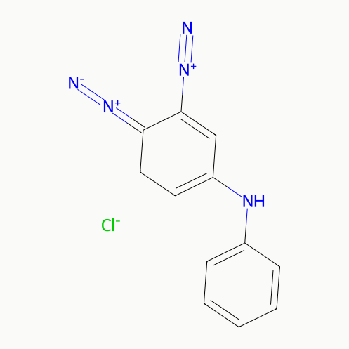 N#[N+]C1=CC(Nc2ccccc2)=CCC1=[N+]=[N-].[Cl-]